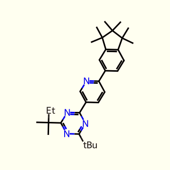 CCC(C)(C)c1nc(-c2ccc(-c3ccc4c(c3)C(C)(C)C(C)(C)C4(C)C)nc2)nc(C(C)(C)C)n1